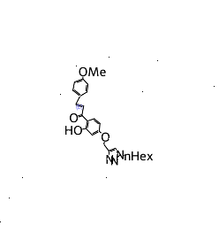 CCCCCCn1cc(COc2ccc(C(=O)/C=C/c3ccc(OC)cc3)c(O)c2)nn1